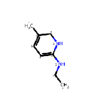 CCNC1=CC=C(C)CN1